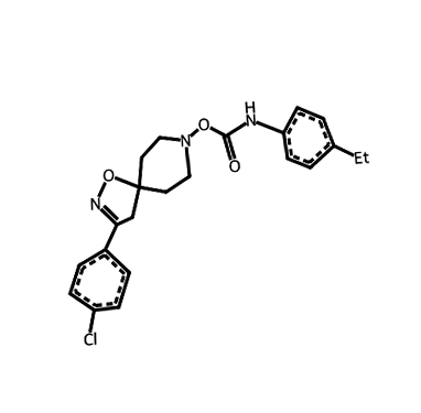 CCc1ccc(NC(=O)ON2CCC3(CC2)CC(c2ccc(Cl)cc2)=NO3)cc1